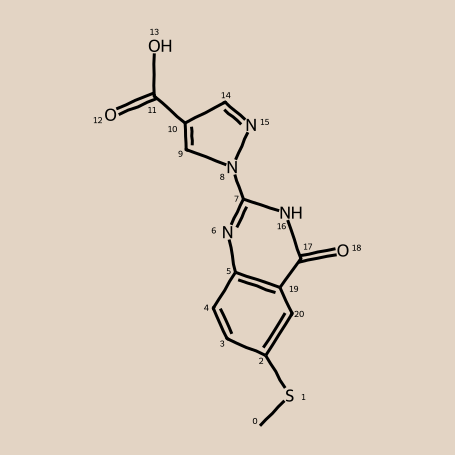 CSc1ccc2nc(-n3cc(C(=O)O)cn3)[nH]c(=O)c2c1